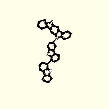 c1ccc2c(c1)oc1c(-c3cccc4c3sc3ccc(-n5c6ccccc6c6cc7sc8ccccc8c7cc65)cc34)cccc12